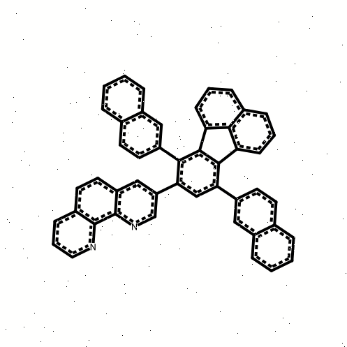 c1ccc2cc(-c3cc(-c4cnc5c(ccc6cccnc65)c4)c(-c4ccc5ccccc5c4)c4c3-c3cccc5cccc-4c35)ccc2c1